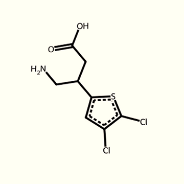 NCC(CC(=O)O)c1cc(Cl)c(Cl)s1